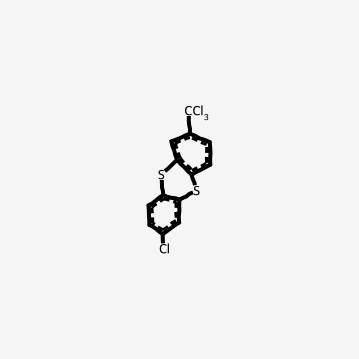 Clc1ccc2c(c1)Sc1ccc(C(Cl)(Cl)Cl)cc1S2